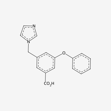 O=C(O)c1cc(Cn2ccnc2)cc(Oc2ccccc2)c1